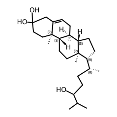 CC(C)C(O)CC[C@@H](C)[C@H]1CC[C@H]2[C@@H]3CC=C4CC(O)(O)CC[C@]4(C)[C@H]3CC[C@]12C